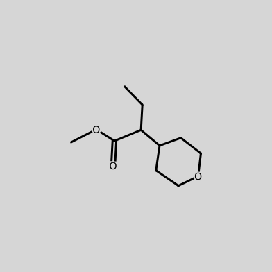 CCC(C(=O)OC)C1CCOCC1